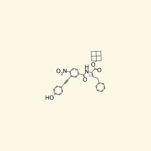 O=C(OC12CC3CC4CC(C1)C432)/C(=C\Cc1ccccc1)NC(=O)c1ccc([N+](=O)[O-])c(C#Cc2ccc(O)cc2)c1